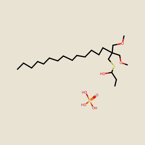 CCCCCCCCCCCCCCC(COC)(COC)CSC(O)CC.O=P(O)(O)O